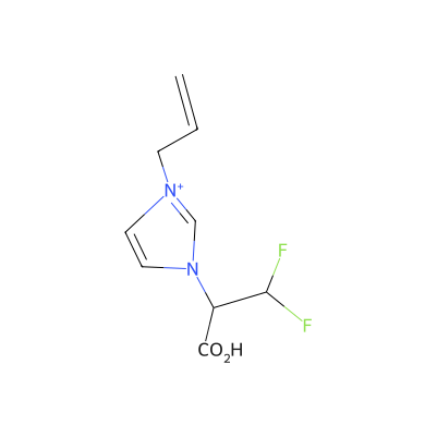 C=CC[n+]1ccn(C(C(=O)O)C(F)F)c1